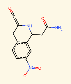 NC(=O)CC1NC(=C=O)Cc2ccc([N+](=O)[O-])cc21